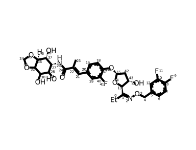 CC/C(=N/OCc1ccc(F)c(F)c1)[C@H]1O[C@@H](Oc2ccc(/C=C(\C)C(=O)N[C@@H]3C(O)C(O)C4OCO[C@H]4[C@@H]3O)cc2F)C[C@@H]1O